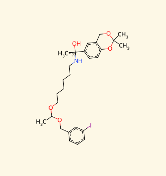 CC(OCCCCCCN[C@](C)(O)c1ccc2c(c1)COC(C)(C)O2)OCc1cccc(I)c1